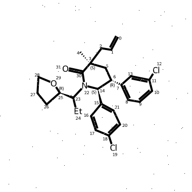 C=CC[C@@]1(C)C[C@H](c2cccc(Cl)c2)[C@@H](c2ccc(Cl)cc2)N(C(CC)[C@H]2CCCO2)C1=O